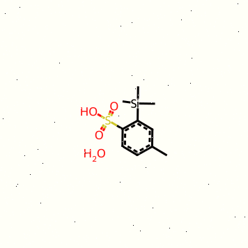 Cc1ccc(S(=O)(=O)O)c([Si](C)(C)C)c1.O